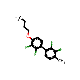 CCCCOc1ccc(-c2ccc(C)c(F)c2F)c(F)c1F